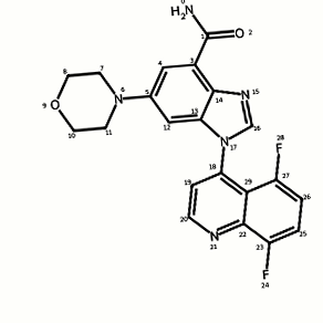 NC(=O)c1cc(N2CCOCC2)cc2c1ncn2-c1ccnc2c(F)ccc(F)c12